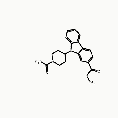 COC(=O)c1ccc2c3ccccc3n(C3CCN(C(C)=O)CC3)c2c1